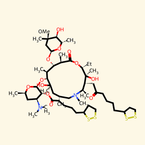 CC[C@H]1OC(=O)[C@H](C)[C@@H](O[C@H]2C[C@@](C)(OC)[C@@H](O)[C@H](C)O2)[C@H](C)[C@@H](O[C@@H]2O[C@H](C)C[C@H](N(C)C)[C@H]2OC(=O)CCCCC2CCSS2)[C@](C)(O)C[C@@H](C)CN(C)[C@H](C)[C@@H](CC(=O)CCCCC2CCSS2)[C@]1(C)O